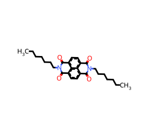 CCCCCCCN1C(=O)c2ccc3c4c(ccc(c24)C1=O)C(=O)N(CCCCCCC)C3=O